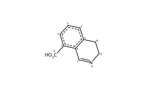 O=C(O)c1cccc2c1C=NCC2